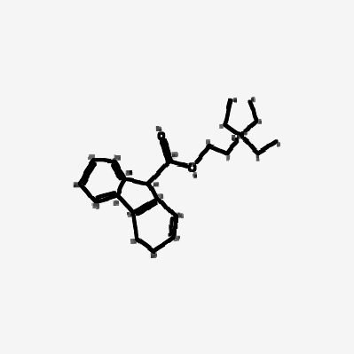 CC[N+](CC)(CC)CCOC(=O)C1C2=C(CCC=C2)c2ccccc21